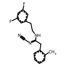 Cc1ccccc1CC(=NC#N)NCCc1cc(F)cc(F)c1